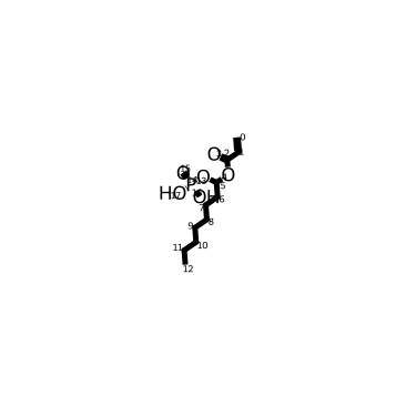 C=CC(=O)OC(CCCCCCC)OP(=O)(O)O